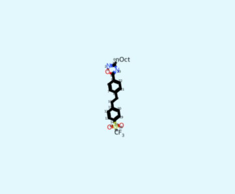 CCCCCCCCc1noc(-c2ccc(C[CH]c3ccc(S(=O)(=O)C(F)(F)F)cc3)cc2)n1